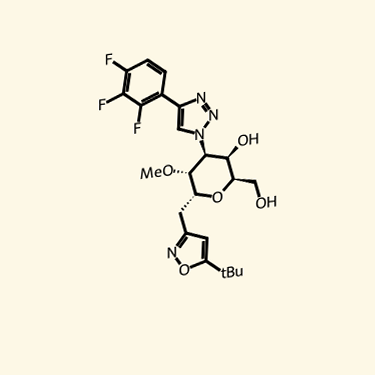 CO[C@@H]1[C@@H](n2cc(-c3ccc(F)c(F)c3F)nn2)[C@@H](O)[C@@H](CO)O[C@@H]1Cc1cc(C(C)(C)C)on1